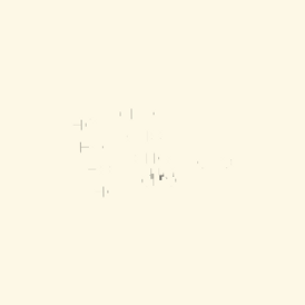 O=CO.O=CO.O=CO.O=CO.O=CO